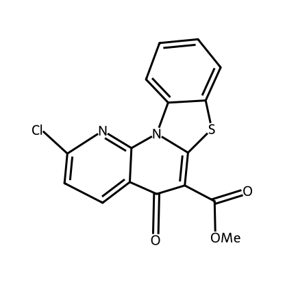 COC(=O)c1c(=O)c2ccc(Cl)nc2n2c1sc1ccccc12